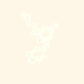 COCCOc1cc(Cl)cc(CC2CCNCC2)c1